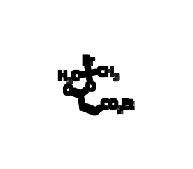 CCOC(=O)/C=C\C(=O)OC(C)(C)Br